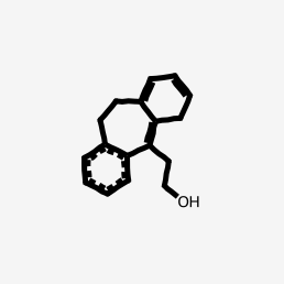 OCCC1=C2CC=CC=C2CCc2ccccc21